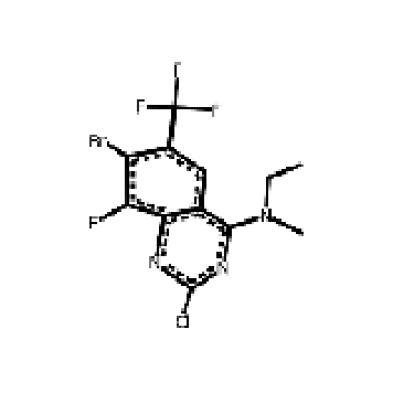 CCN(C)c1nc(Cl)nc2c(F)c(Br)c(C(F)(F)F)cc12